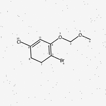 COCOC1=C(Br)CCC(Cl)=C1